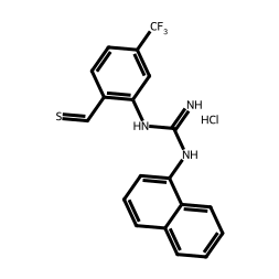 Cl.N=C(Nc1cc(C(F)(F)F)ccc1C=S)Nc1cccc2ccccc12